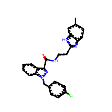 Cc1ccc2nc(CCNC(=O)c3nn(Cc4ccc(Cl)cc4)c4ccccc34)[nH]c2c1